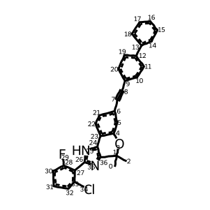 CC1(C)Oc2cc(C#Cc3ccc(-c4ccccc4)cc3)ccc2-c2[nH]c(-c3c(F)cccc3Cl)nc21